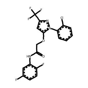 O=C(COc1cc(C(F)(F)F)nn1-c1ccccc1Cl)Nc1cc(F)ccc1F